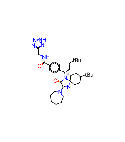 CC(C)(C)CC[C@H](c1ccc(C(=O)NCc2nn[nH]n2)cc1)N1C(=O)C(N2CCCCCC2)=NC12CCC(C(C)(C)C)CC2